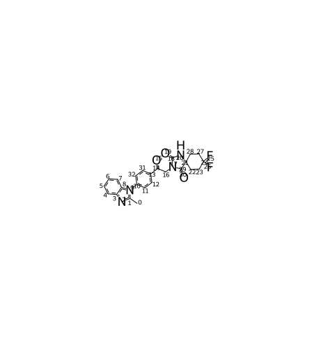 Cc1nc2ccccc2n1-c1ccc(C(=O)CN2C(=O)NC3(CCC(F)(F)CC3)C2=O)cc1